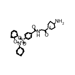 NC1CCN(C(=O)CNC(=O)c2ccc(S(=O)(=O)N(Oc3ccccc3)c3ccccc3)cc2)CC1